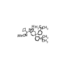 CON=C(c1n[nH]c2c1C=CC(c1cccc(N(C)C)c1)(c1cccc(N(C)C)c1)C2)C1CCC1